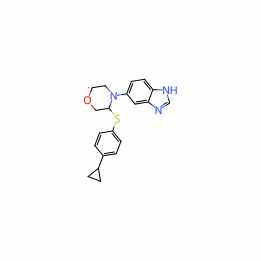 [CH]1CN(c2ccc3[nH]cnc3c2)C(Sc2ccc(C3CC3)cc2)CO1